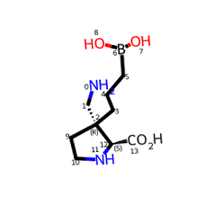 NC[C@@]1(CCCB(O)O)CCN[C@@H]1C(=O)O